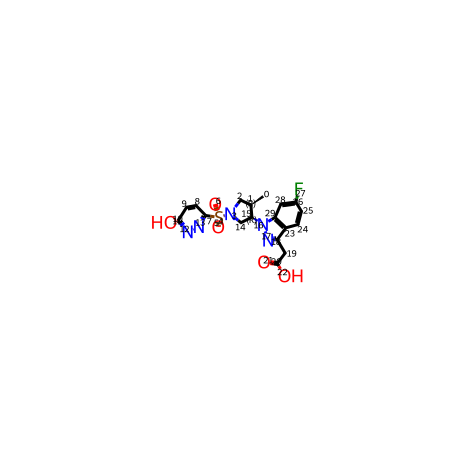 C[C@@H]1CN(S(=O)(=O)c2ccc(O)nn2)C[C@@H]1n1nc(CC(=O)O)c2ccc(F)cc21